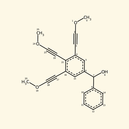 COC#Cc1cc(C(O)c2ccccc2)cc(C#COC)c1C#COC